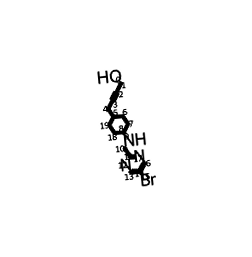 OCC#CCC1CCC(NCc2ncc(Br)cn2)CC1